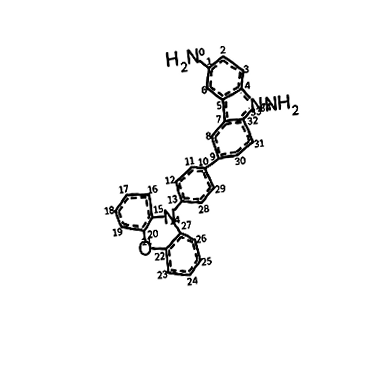 Nc1ccc2c(c1)c1cc(-c3ccc(N4c5ccccc5Oc5ccccc54)cc3)ccc1n2N